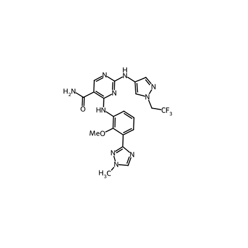 COc1c(Nc2nc(Nc3cnn(CC(F)(F)F)c3)ncc2C(N)=O)cccc1-c1ncn(C)n1